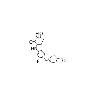 O=CC1CCN(Cc2ccc(NC3CCC(=O)NC3=O)cc2F)CC1